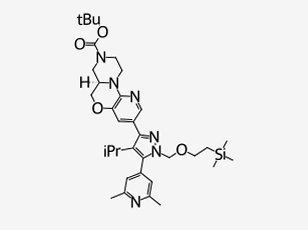 Cc1cc(-c2c(C(C)C)c(-c3cnc4c(c3)OC[C@H]3CN(C(=O)OC(C)(C)C)CCN43)nn2COCC[Si](C)(C)C)cc(C)n1